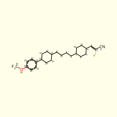 N#CC(F)=CC1CCC(CCCCC2CCC(c3ccc(OC(F)(F)F)cc3)CC2)CC1